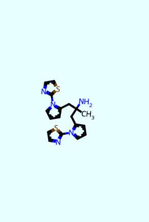 CC(N)(Cc1cccn1-c1nccs1)Cc1cccn1-c1nccs1